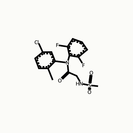 Cc1ccc(Cl)cc1N(C(=O)CNS(C)(=O)=O)c1c(F)cccc1F